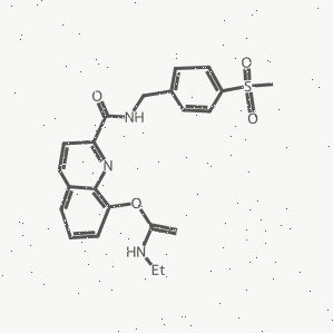 C=C(NCC)Oc1cccc2ccc(C(=O)NCc3ccc(S(C)(=O)=O)cc3)nc12